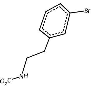 O=C(O)NCCc1cccc(Br)c1